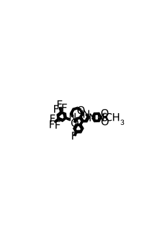 CS(=O)(=O)N1CCN(c2cc(-c3ccc(F)cc3)c3c(n2)OCCCN(Cc2cc(C(F)(F)F)cc(C(F)(F)F)c2)C3=O)CC1